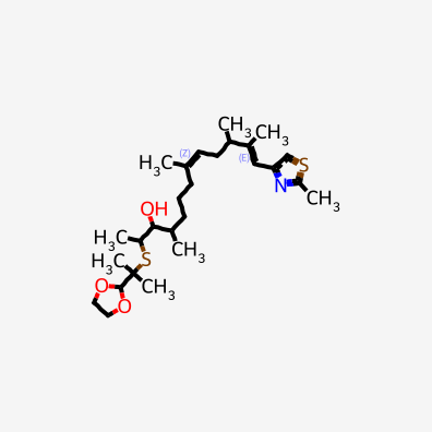 C/C(=C/CC(C)/C(C)=C/c1csc(C)n1)CCCC(C)C(O)C(C)SC(C)(C)C1OCCO1